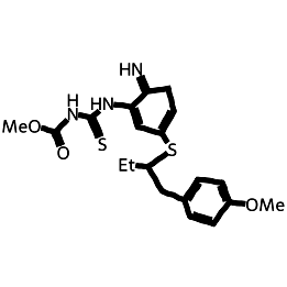 CCC(Cc1ccc(OC)cc1)SC1=CCC(=N)C(NC(=S)NC(=O)OC)=C1